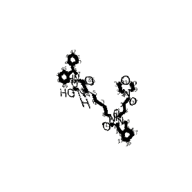 O=C(O)N[C@@H](CCCCNC(=O)[C@@H]1Cc2ccccc2CN1C(=O)CCC(=O)N1CCOCC1)C(=O)NCC(c1ccccc1)c1ccccc1